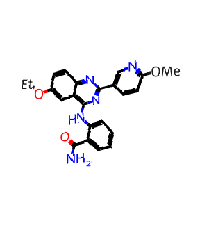 CCOc1ccc2nc(-c3ccc(OC)nc3)nc(Nc3ccccc3C(N)=O)c2c1